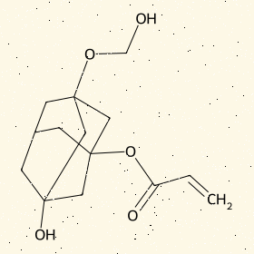 C=CC(=O)OC12CC3CC(O)(CC(OCO)(C3)C1)C2